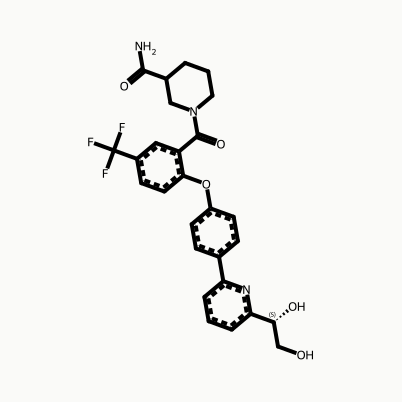 NC(=O)C1CCCN(C(=O)c2cc(C(F)(F)F)ccc2Oc2ccc(-c3cccc([C@H](O)CO)n3)cc2)C1